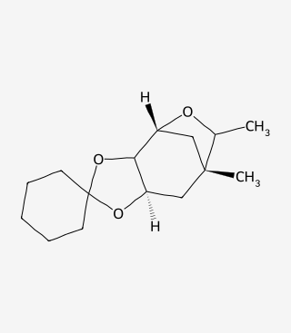 CC1O[C@@H]2C[C@@]1(C)C[C@H]1OC3(CCCCC3)OC21